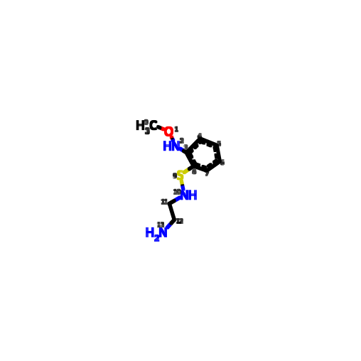 CONc1ccccc1SNCCN